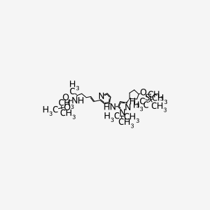 C[C@@H](CC/C=C/c1cc(Nc2cc([C@H]3CC[C@@H](O[Si](C)(C)C(C)(C)C)C3)nn2C(C)(C)C)ccn1)NC(=O)OC(C)(C)C